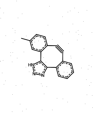 Cc1ccc2c(c1)-c1[nH]nnc1-c1ccccc1C#C2